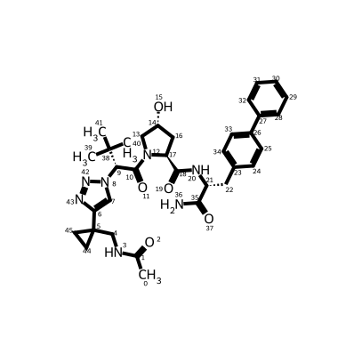 CC(=O)NCC1(c2cn([C@@H](C(=O)N3C[C@H](O)C[C@H]3C(=O)N[C@H](Cc3ccc(-c4ccccc4)cc3)C(N)=O)C(C)(C)C)nn2)CC1